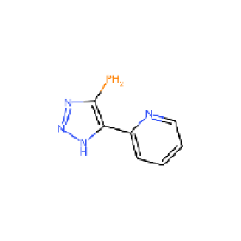 Pc1nn[nH]c1-c1ccccn1